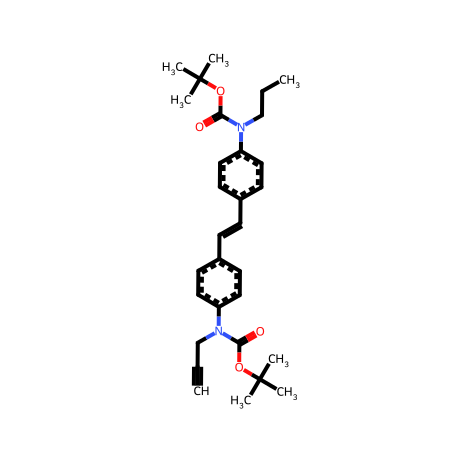 C#CCN(C(=O)OC(C)(C)C)c1ccc(/C=C/c2ccc(N(CCC)C(=O)OC(C)(C)C)cc2)cc1